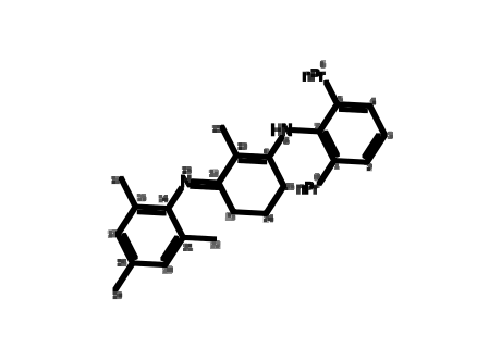 CCCc1cccc(CCC)c1NC1=C(C)/C(=N/c2c(C)cc(C)cc2C)CCC1